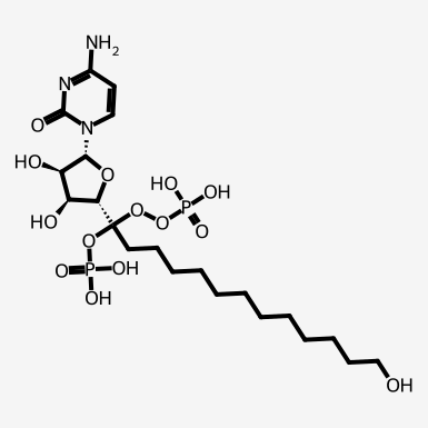 Nc1ccn([C@@H]2O[C@H](C(CCCCCCCCCCCCO)(OOP(=O)(O)O)OP(=O)(O)O)[C@@H](O)[C@H]2O)c(=O)n1